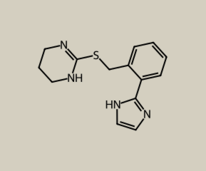 c1ccc(-c2ncc[nH]2)c(CSC2=NCCCN2)c1